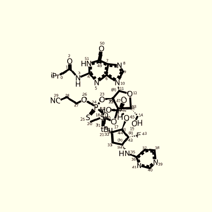 CC(C)C(=O)Nc1nc2c(ncn2[C@@H]2O[C@H](CO)C(O[Si](C)(C)C(C)(C)C)[C@H]2OP(=S)(OCCC#N)OC[C@H]2C[C@@H](Nc3ccncn3)[C@@H](F)[C@@H]2O[PH](=O)O)c(=O)[nH]1